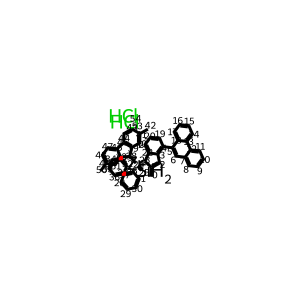 CC1=Cc2c(-c3cc4ccccc4c4ccccc34)cccc2[CH]1[Zr](=[SiH2])([c]1ccccc1)([c]1ccccc1)[CH]1c2cc(C)ccc2-c2ccc(C)cc21.Cl.Cl